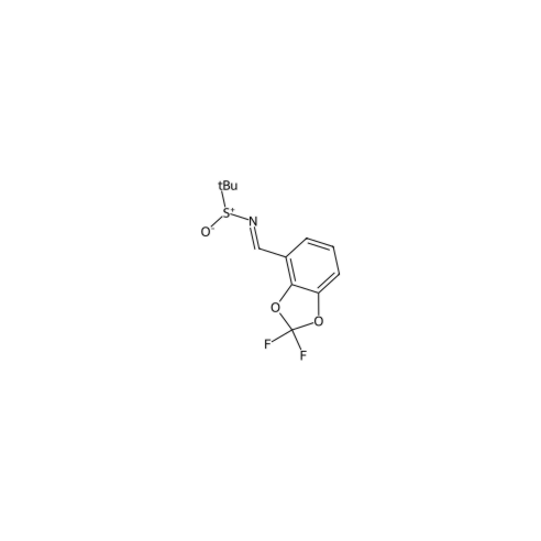 CC(C)(C)[S+]([O-])/N=C/c1cccc2c1OC(F)(F)O2